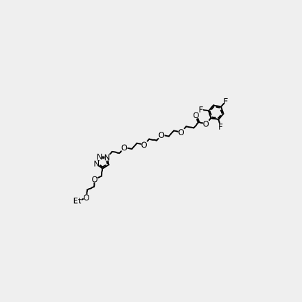 CCOCCOCc1cn(CCOCCOCCOCCOCCC(=O)Oc2c(F)cc(F)cc2F)nn1